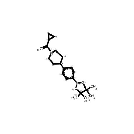 CC1(C)OB(c2ccc(C3CCN(C(=O)C4CC4)CC3)cc2)OC1(C)C